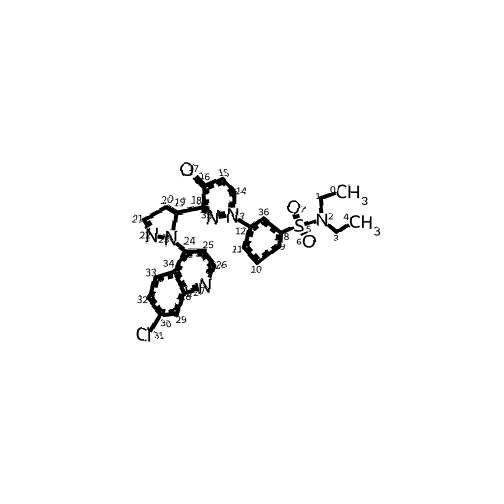 CCN(CC)S(=O)(=O)c1cccc(-n2ccc(=O)c(C3CC=NN3c3ccnc4cc(Cl)ccc34)n2)c1